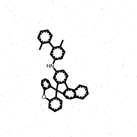 Cc1ccccc1-c1cc(Nc2ccc3c(c2)C2(c4ccccc4Oc4ccccc42)c2ccc4ccccc4c2-3)ccc1C